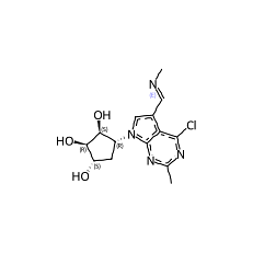 C/N=C/c1cn([C@@H]2C[C@H](O)[C@@H](O)[C@H]2O)c2nc(C)nc(Cl)c12